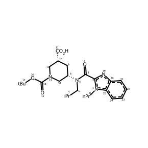 CCCn1c(C(=O)N(CC(C)C)[C@H]2C[C@@H](C(=O)O)CN(C(=O)OC(C)(C)C)C2)nc2ccccc21